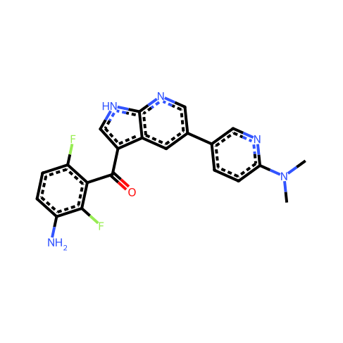 CN(C)c1ccc(-c2cnc3[nH]cc(C(=O)c4c(F)ccc(N)c4F)c3c2)cn1